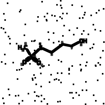 CS(=O)(=O)SCCCO